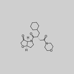 O=C1CO[C@@H]2CCN(C(=O)[C@@H](CC(=O)N3CCOCC3)CC3CCCCC3)[C@H]12